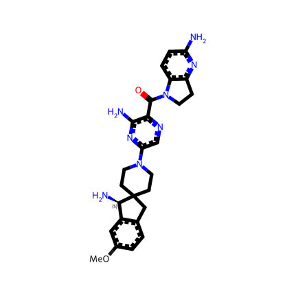 COc1ccc2c(c1)[C@@H](N)C1(CCN(c3cnc(C(=O)N4CCc5nc(N)ccc54)c(N)n3)CC1)C2